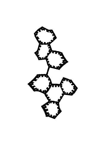 c1ccc2c(c1)ccc1c(-c3cccc4c5ccccc5c5ccccc5c34)cccc12